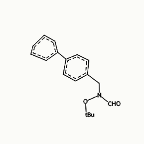 CC(C)(C)ON(C=O)Cc1ccc(-c2ccccc2)cc1